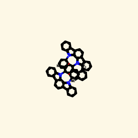 N#Cc1cc(-n2c3ccccc3c3ccc4c5ccccc5n(-c5ccccc5)c4c32)c(-c2c(C#N)cccc2C(F)(F)F)cc1-n1c2ccccc2c2ccc3c4ccccc4n(-c4ccccc4)c3c21